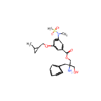 CC1CC1COc1cc(C(=O)OCC(N)(CO)Cc2ccccc2)cc(N(C)S(C)(=O)=O)c1